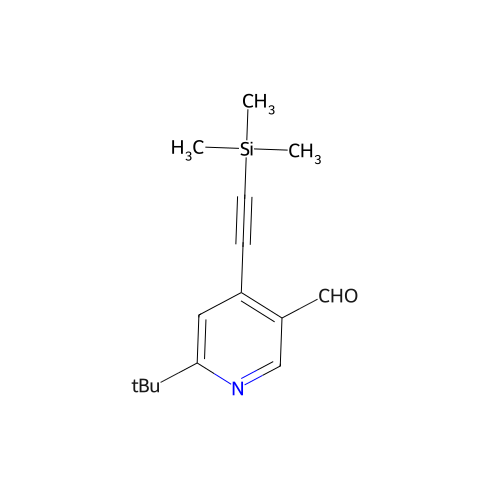 CC(C)(C)c1cc(C#C[Si](C)(C)C)c(C=O)cn1